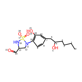 CCCCC(O)Cc1ccc(N2CC(C=O)NS2(=O)=O)c(O)c1